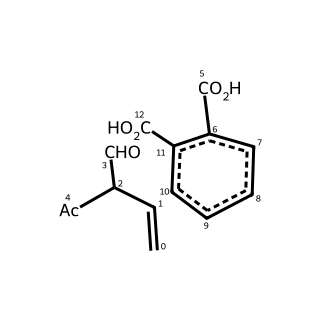 C=CC(C=O)C(C)=O.O=C(O)c1ccccc1C(=O)O